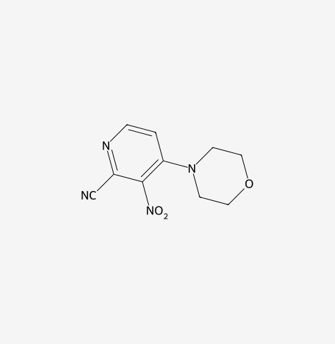 N#Cc1nccc(N2CCOCC2)c1[N+](=O)[O-]